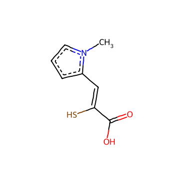 Cn1cccc1C=C(S)C(=O)O